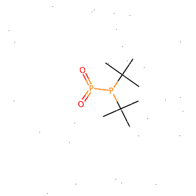 CC(C)(C)P(P(=O)=O)C(C)(C)C